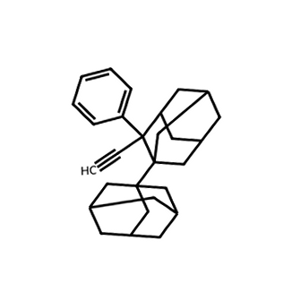 C#CC1(c2ccccc2)C2CC3CC(C2)CC1(C12CC4CC(CC(C4)C1)C2)C3